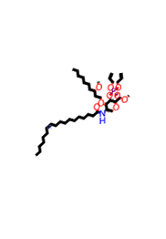 C=CCOP(=O)(OCC=C)O[C@@H]1C(COC)OC[C@H](NC(=O)CCCCCCCCC/C=C\CCCCCC)C1OCCC(CCCCCCC)OC